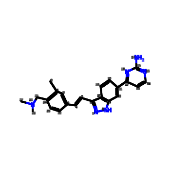 Cc1cc(C=Cc2n[nH]c3cc(-c4ccnc(N)n4)ccc23)ccc1CN(C)C